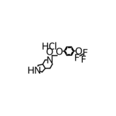 Cl.O=C(COc1ccc(OC(F)(F)F)cc1)N1CCC2CNCC2C1